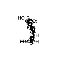 CCn1cc(C(=O)O)c(=O)c2cc(F)c(N3CCN(CC(=O)Nc4ccc(C(=O)OC)c(O)c4)CC3)cc21